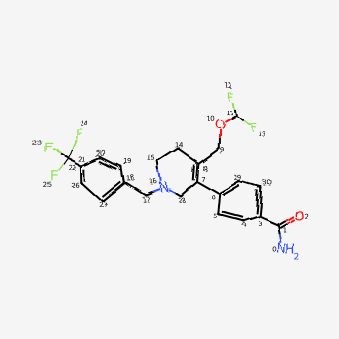 NC(=O)c1ccc(C2=C(COC(F)F)CCN(Cc3ccc(C(F)(F)F)cc3)C2)cc1